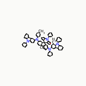 CC1C=CC(N(C2=CC3C(C)(C=C2)c2ccc(N(C4=CC(C)C5C(=C4)c4ccccc4N5c4ccccc4)c4ccccc4)cc2C32c3ccccc3N(c3ccccc3)c3ccccc32)c2ccc3c(c2)c2ccccc2n3-c2ccccc2)=CC1